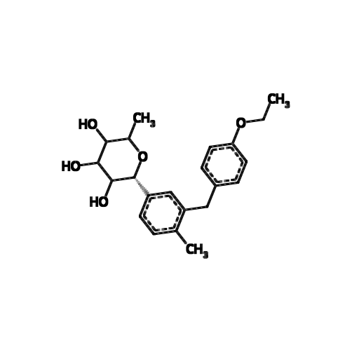 CCOc1ccc(Cc2cc([C@H]3OC(C)C(O)C(O)C3O)ccc2C)cc1